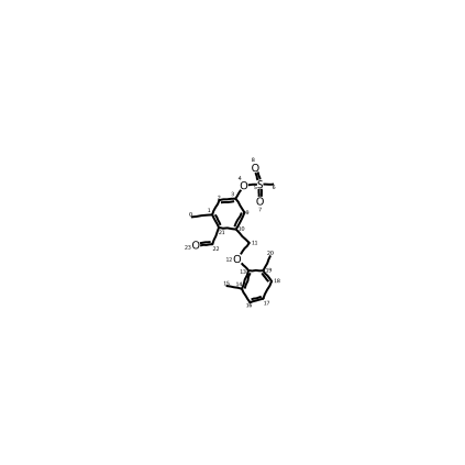 Cc1cc(OS(C)(=O)=O)cc(COc2c(C)cccc2C)c1C=O